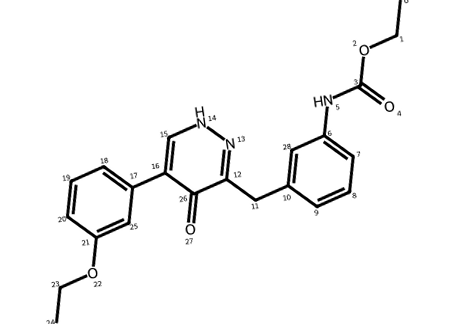 CCOC(=O)Nc1cccc(Cc2n[nH]cc(-c3cccc(OCC)c3)c2=O)c1